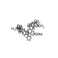 COc1ccc2c(c1)C=C(c1ncn(C(C)C)c1C(=O)N1CC(C)OC(C)C1)Cn1c-2c(C2CCCCC2)c2ccc(C(=O)NS(=O)(=O)N(C)C)cc21